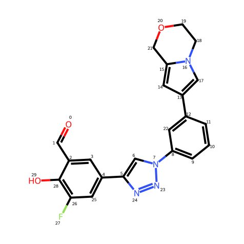 O=Cc1cc(-c2cn(-c3cccc(-c4cc5n(c4)CCOC5)c3)nn2)cc(F)c1O